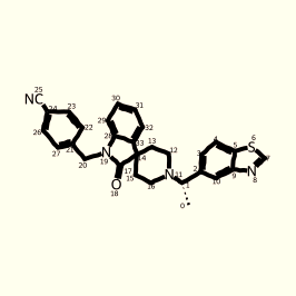 C[C@@H](c1ccc2scnc2c1)N1CCC2(CC1)C(=O)N(Cc1ccc(C#N)cc1)c1ccccc12